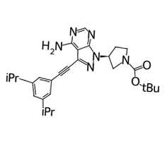 CC(C)c1cc(C#Cc2nn([C@H]3CCN(C(=O)OC(C)(C)C)C3)c3ncnc(N)c23)cc(C(C)C)c1